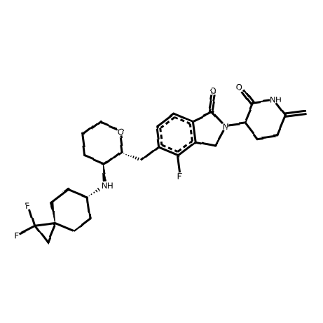 C=C1CCC(N2Cc3c(ccc(C[C@H]4OCCC[C@@H]4N[C@H]4CC[C@@]5(CC4)CC5(F)F)c3F)C2=O)C(=O)N1